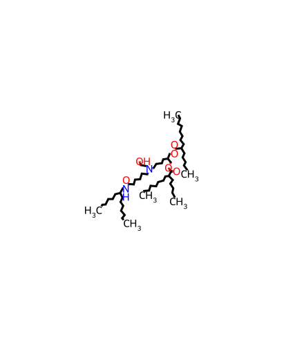 CCCCCCCCC(CCCCCC)C(=O)OCC(CCCCN(CCO)CCCCCC(=O)NCC(CCCCCC)CCCCCCC)COC(=O)C(CCCCCC)CCCCCCCC